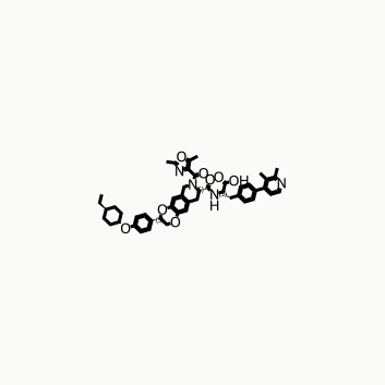 CC[C@H]1CC[C@H](Oc2ccc([C@H]3COc4cc5c(cc4O3)CN(C(=O)c3nc(C)oc3C)[C@H](C(=O)N[C@@H](Cc3ccc(-c4ccnc(C)c4C)cc3)C(=O)O)C5)cc2)CC1